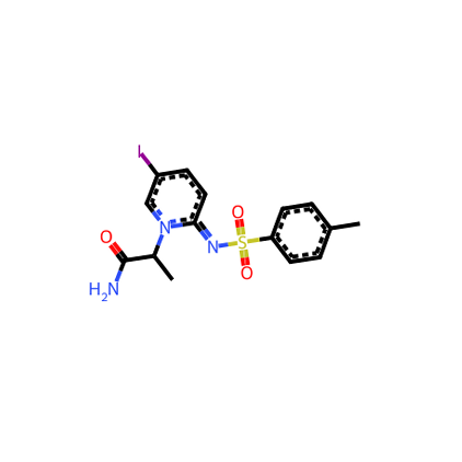 Cc1ccc(S(=O)(=O)N=c2ccc(I)cn2C(C)C(N)=O)cc1